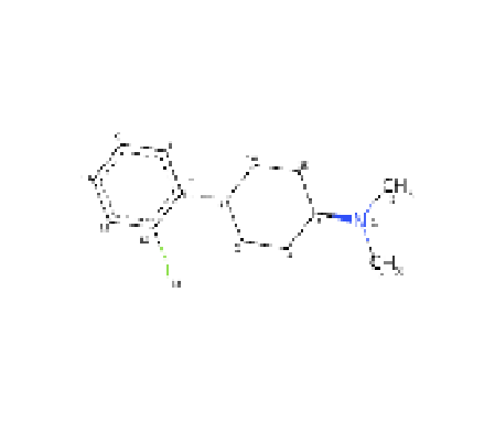 CN(C)[C@H]1CC[C@H](c2ccccc2F)CC1